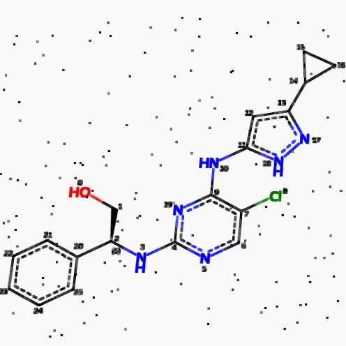 OC[C@@H](Nc1ncc(Cl)c(Nc2cc(C3CC3)n[nH]2)n1)c1ccccc1